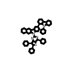 c1ccc(-c2sc3c(-c4ccccc4)nc(-n4c5ccc(-c6cccc7c8ccccc8n(-c8ccccc8)c67)cc5c5cc6ccccc6cc54)nc3c2-c2ccccc2)cc1